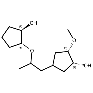 CO[C@H]1CC(CC(C)O[C@@H]2CCC[C@H]2O)C[C@H]1O